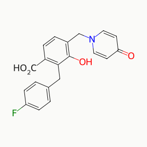 O=C(O)c1ccc(Cn2ccc(=O)cc2)c(O)c1Cc1ccc(F)cc1